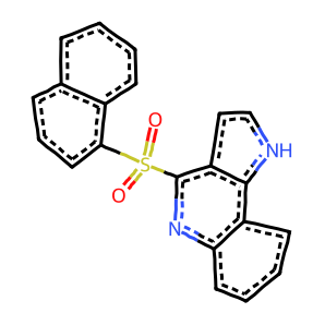 O=S(=O)(c1cccc2ccccc12)c1nc2ccccc2c2[nH]ccc12